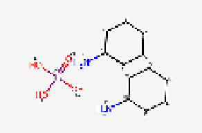 NC1CCCCC1.NC1CCCCC1.O=P(O)(O)O